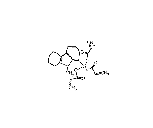 C=CC(=O)[O][Ti]([O]C(=O)C=C)([O]C(=O)C=C)[CH]1CCCC2=C1C(C)C1=C2CCCC1